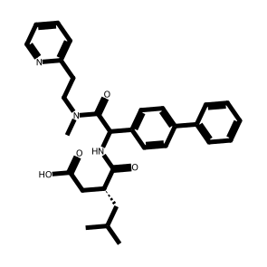 CC(C)C[C@H](CC(=O)O)C(=O)NC(C(=O)N(C)CCc1ccccn1)c1ccc(-c2ccccc2)cc1